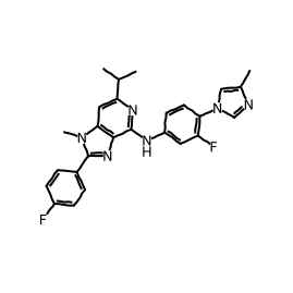 Cc1cn(-c2ccc(Nc3nc(C(C)C)cc4c3nc(-c3ccc(F)cc3)n4C)cc2F)cn1